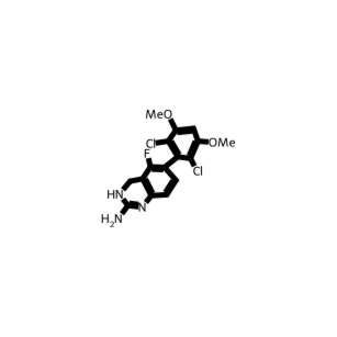 COc1cc(OC)c(Cl)c(-c2ccc3c(c2F)CNC(N)=N3)c1Cl